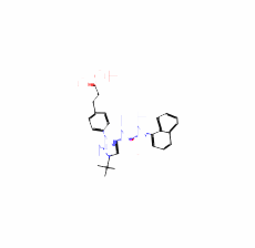 CC(C)(C)c1cc(NC(=O)Nc2cccc3ccccc23)n(-c2ccc(CCC(=O)O)cc2)n1